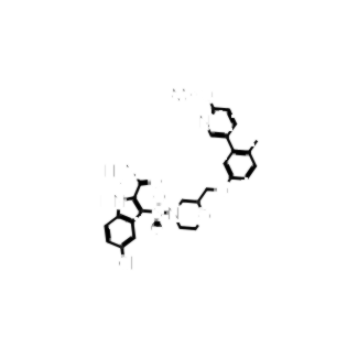 COc1ccc(-c2cc(OCC3CN(S(=O)(=O)c4c(C(N)=O)[nH]c5ccc(Cl)cc45)CCO3)ccc2C)cn1